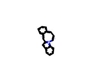 C1=C\n2c(cc3ccccc32)/C=c2/cccc/c2=C/1